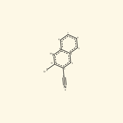 N#Cc1cc2ccccc2nc1I